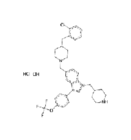 Cl.Cl.FC(F)(F)Oc1ccc(-c2cn(CC3CCNCC3)c3ccc(CN4CCC(Cc5ccccc5Cl)CC4)cc23)cc1